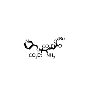 CCOC(=O)C(OCc1cccnc1)(C(=O)OCC)C(N)CCC(=O)OC(C)(C)C